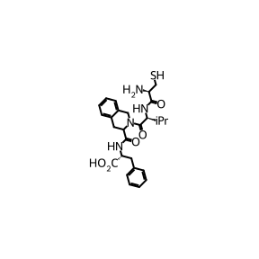 CC(C)[C@H](NC(=O)[C@@H](N)CS)C(=O)N1Cc2ccccc2CC1C(=O)N[C@H](Cc1ccccc1)C(=O)O